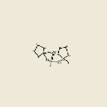 CC1(OP(C)(=O)OC2(C)CCCC2)CCCC1